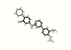 COc1ccc(-c2ccnc(Nc3ccc(N4CCOCC4)c(Cl)c3)n2)cc1N